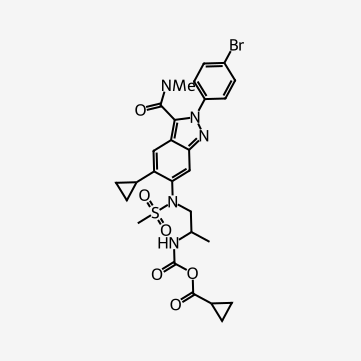 CNC(=O)c1c2cc(C3CC3)c(N(CC(C)NC(=O)OC(=O)C3CC3)S(C)(=O)=O)cc2nn1-c1ccc(Br)cc1